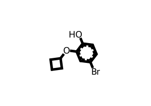 Oc1ccc(Br)cc1OC1CCC1